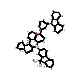 CC1(C)c2ccccc2-c2ccc(N(c3ccc(-c4cccc(-n5c6c(c7ccccc75)=CCCC=6)c4)cc3)c3ccc4ccccc4c3-c3ccccc3)cc21